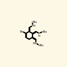 CCCCPC=C1CC=C(Br)C(=CPCCCC)C1=CPCCCC